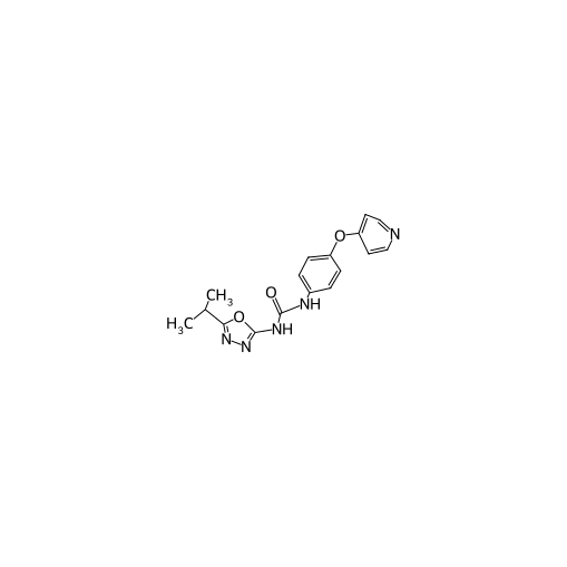 CC(C)c1nnc(NC(=O)Nc2ccc(Oc3ccncc3)cc2)o1